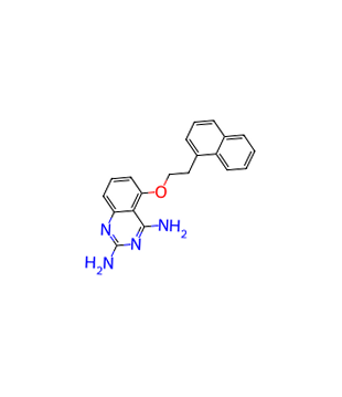 Nc1nc(N)c2c(OCCc3cccc4ccccc34)cccc2n1